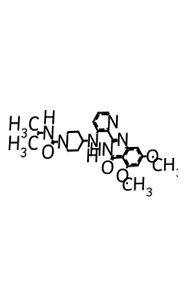 COc1cc(OC)c2c(=O)[nH]c(-c3ncccc3NC3CCN(C(=O)NC(C)C)CC3)nc2c1